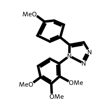 COc1ccc(-c2cnnn2-c2ccc(OC)c(OC)c2OC)cc1